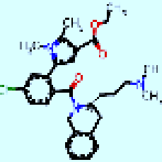 CCOC(=O)c1cc(-c2cc(Cl)ccc2C(=O)N2Cc3ccccc3C[C@H]2CCCN(C)C)n(C)c1C